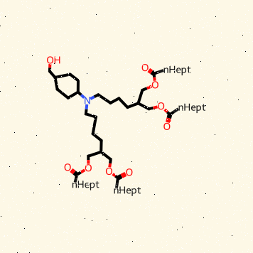 CCCCCCCC(=O)OCC(CCCCN(CCCCC(COC(=O)CCCCCCC)COC(=O)CCCCCCC)C1CCC(CO)CC1)COC(=O)CCCCCCC